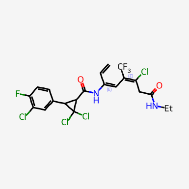 C=C/C(=C\C(=C(\Cl)CC(=O)NCC)C(F)(F)F)NC(=O)C1C(c2ccc(F)c(Cl)c2)C1(Cl)Cl